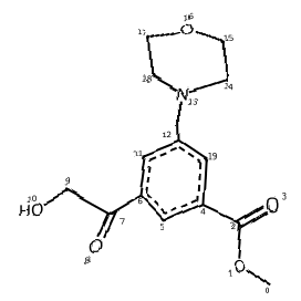 COC(=O)c1cc(C(=O)CO)cc(N2CCOCC2)c1